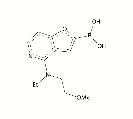 CCN(CCOC)c1nccc2oc(B(O)O)cc12